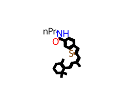 CCCNC(=O)c1ccc2cc(C=C(C)C=CC3=C(C)CCCC3(C)C)sc2c1